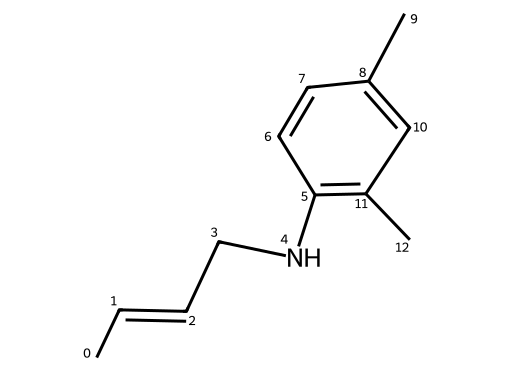 CC=CCNc1ccc(C)cc1C